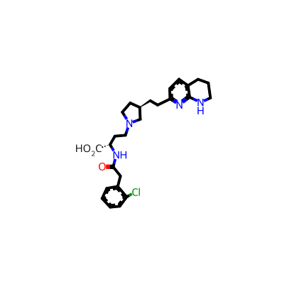 O=C(Cc1ccccc1Cl)N[C@@H](CCN1CC[C@@H](CCc2ccc3c(n2)NCCC3)C1)C(=O)O